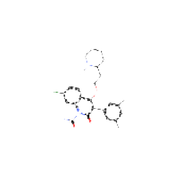 Cc1cc(C)cc(-c2c(OCCC3CCCCN3C)c3c[c]c(Cl)cc3n(C(N)=O)c2=O)c1